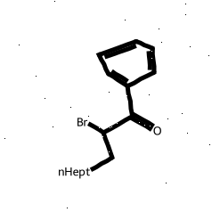 CCCCCCCCC(Br)C(=O)c1ccccc1